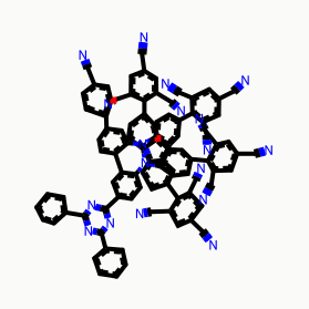 N#Cc1ccc(-c2ccc(-c3cc(-c4nc(-c5ccccc5)nc(-c5ccccc5)n4)ccc3-n3c4ccc(-c5c(C#N)cc(C#N)cc5C#N)cc4c4cc(-c5c(C#N)cc(C#N)cc5C#N)ccc43)c(-n3c4ccc(-c5c(C#N)cc(C#N)cc5C#N)cc4c4cc(-c5c(C#N)cc(C#N)cc5C#N)ccc43)c2)cc1